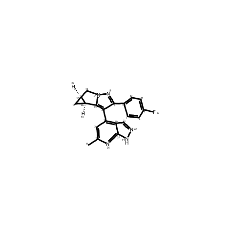 Cc1cc(-c2c(-c3ccc(F)cc3)nn3c2[C@H]2C[C@H]2C3)c2cn[nH]c2n1